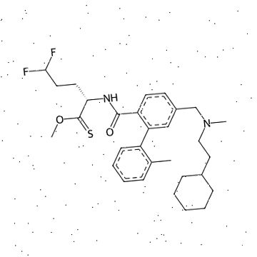 COC(=S)[C@H](CCC(F)F)NC(=O)c1ccc(CN(C)CCC2CCCCC2)cc1-c1ccccc1C